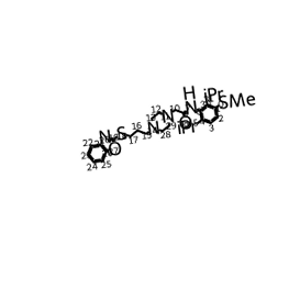 CSc1ccc(C(C)C)c(NC(=O)CN2CCN(CCCSc3nc4ccccc4o3)CC2)c1C(C)C